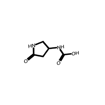 O=C(O)NC1CNC(=O)C1